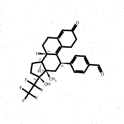 C[C@]12C[C@H](c3ccc(C=O)cc3)C3=C4CCC(=O)C=C4CC[C@H]3[C@@H]1CC[C@@]2(O)C(F)(F)C(F)(F)F